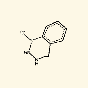 [O-][S+]1NNCc2ccccc21